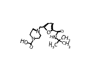 CC(C)(C)NC(=O)c1ccc(CN2CCN(C(=O)O)CC2)o1